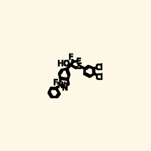 OC(CSc1ccc(Cl)c(Cl)c1)(c1ccc2c(c1)C=N[N+]2(F)c1ccccc1)C(F)F